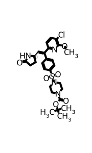 COc1nc(C(=C[C@H]2CCC(=O)N2)c2ccc(S(=O)(=O)N3CCN(C(=O)OC(C)(C)C)CC3)cc2)ccc1Cl